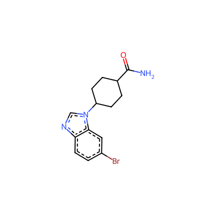 NC(=O)C1CCC(n2cnc3ccc(Br)cc32)CC1